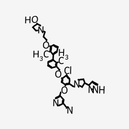 Cc1c(COc2cc(OCc3cncc(C#N)c3)c(CN3CCC(c4cc[nH]n4)C3)cc2Cl)cccc1-c1cccc(OCCCN2CCC(O)C2)c1C